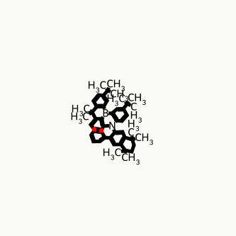 CC(C)(C)c1ccc2c(c1)B1c3cc(C(C)(C)C)ccc3C(C)(C)c3cccc(c31)N2c1cc2c(cc1-c1ccccc1)C(C)(C)CCC2(C)C